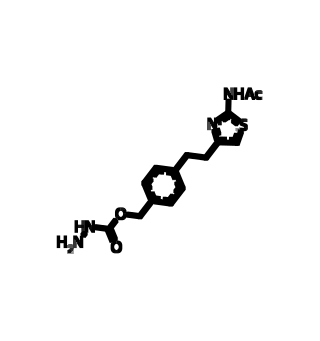 CC(=O)Nc1nc(CCc2ccc(COC(=O)NN)cc2)cs1